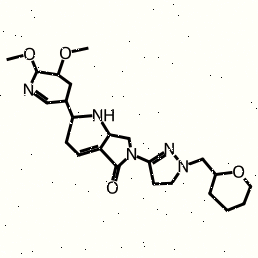 COC1CC(C2CC=C3C(=O)N(C4=NN(CC5CCCCO5)CC4)CC3N2)C=NC1OC